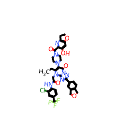 CCc1c(N2CCN(C(=O)c3nc4c(cc3O)OCC4)CC2)c(=O)n2nc(-c3ccc4c(c3)COC4)nc2n1CC(=O)Nc1ccc(C(F)(F)F)cc1Cl